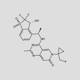 Cc1nc(N[C@H](C)c2cccc3c2[C@@H](O)C(F)(F)S3(=O)=O)c2cn(C3(CF)CC3)c(=O)cc2n1